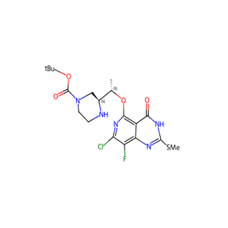 CSc1nc2c(F)c(Cl)nc(O[C@@H](C)[C@@H]3CN(C(=O)OC(C)(C)C)CCN3)c2c(=O)[nH]1